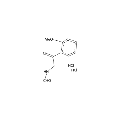 COc1ccccc1C(=O)CNC=O.Cl.Cl